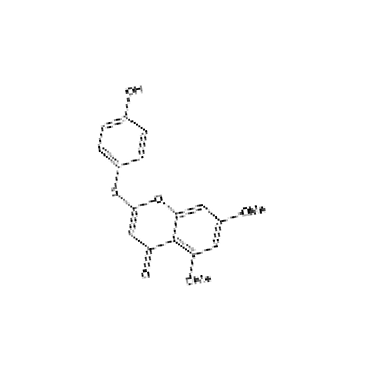 COc1cc(OC)c2c(=O)cc(Sc3ccc(O)cc3)oc2c1